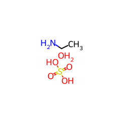 CCN.O.O=S(=O)(O)O